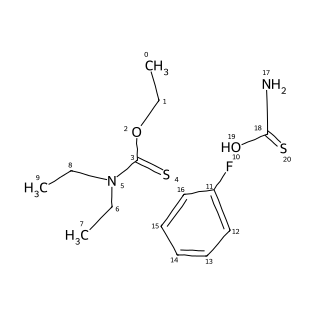 CCOC(=S)N(CC)CC.Fc1ccccc1.NC(O)=S